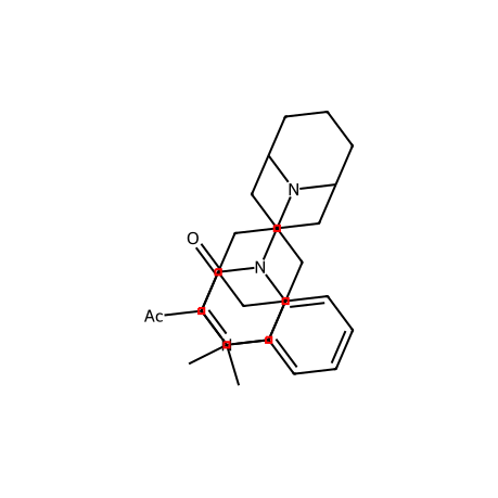 CC(=O)c1nc2ccccc2n(C2CC3CCCC(C2)N3C2CC3CC(C2)CC(C)(C)C3)c1=O